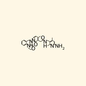 Cc1cc(N)nc(C)c1CNC(=O)Cc1c(C)ccn(NCc2ccccc2N2CCOCC2)c1=O